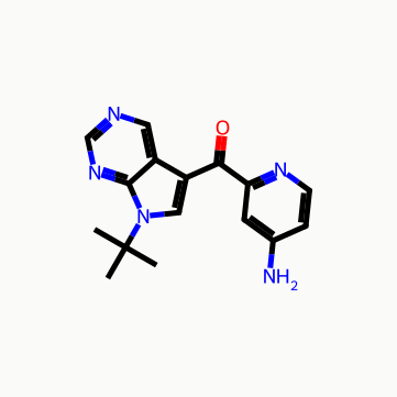 CC(C)(C)n1cc(C(=O)c2cc(N)ccn2)c2cncnc21